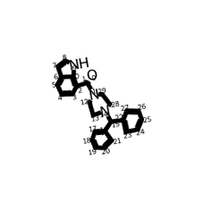 O=C(c1cccc2cc[nH]c12)N1CCN(C(c2ccccc2)c2ccccc2)CC1